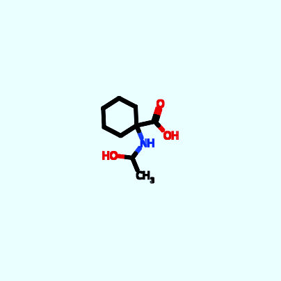 CC(O)NC1(C(=O)O)CCCCC1